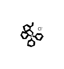 C=Cc1ccccc1C[P+](c1ccccc1)(c1ccccc1)c1ccccc1.[Cl-]